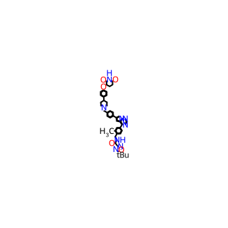 Cc1cc(-c2ncnn3cc(-c4ccc(CN5CCC(c6ccc(O[C@H]7CCC(=O)NC7=O)cc6)CC5)cc4)cc23)ccc1CNC(=O)c1noc(C(C)(C)C)n1